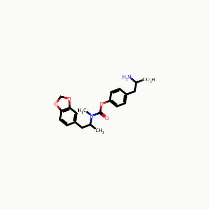 CC(Cc1ccc2c(c1)OCO2)N(C)C(=O)Oc1ccc(CC(N)C(=O)O)cc1